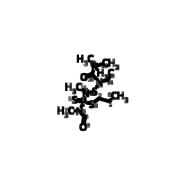 CCCSP(=S)(N(C)C=O)N(C)SN(CC)C(=O)N(C)C